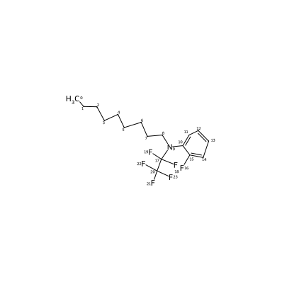 CCCCCCCCCN(c1ccccc1F)C(F)(F)C(F)(F)F